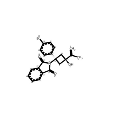 C=C(C)[C@]1(O)C[C@@](c2ccc(Br)cc2)(N2C(=O)c3ccccc3C2=O)C1